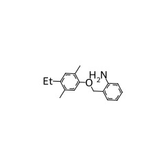 CCc1cc(C)c(OCc2ccccc2N)cc1C